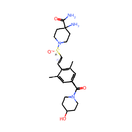 Cc1cc(C(=O)N2CCC(O)CC2)cc(C)c1/C=C/[S@+]([O-])N1CCC(N)(C(N)=O)CC1